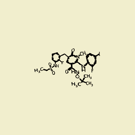 CCS(=O)(=O)Nc1cccc(Cc2cc(C(=O)NOC(C)(C)C)c(Nc3ccc(I)cc3F)n(C)c2=O)c1F